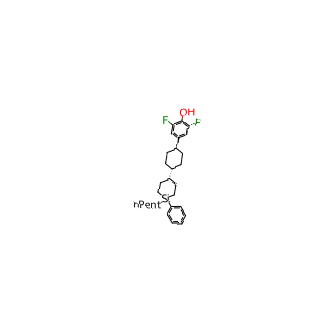 CCCCC[Si]1(c2ccccc2)CCC([C@H]2CC[C@H](c3cc(F)c(O)c(F)c3)CC2)CC1